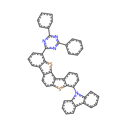 c1ccc(-c2nc(-c3ccccc3)nc(-c3cccc4c3sc3c4ccc4sc5c(-n6c7ccccc7c7ccccc76)cccc5c43)n2)cc1